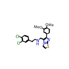 COc1ccc(-c2nc3sccn3c2CNCCc2ccc(Cl)c(Cl)c2)cc1OC